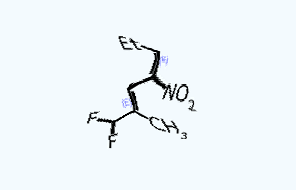 CC/C=C(\C=C(/C)C(F)F)[N+](=O)[O-]